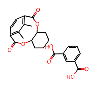 Cc1c2ccc(c1C)C(=O)OC1CCCCC1OC2=O.O=C(O)c1cccc(C(=O)O)c1